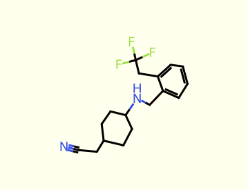 N#CCC1CCC(NCc2ccccc2CC(F)(F)F)CC1